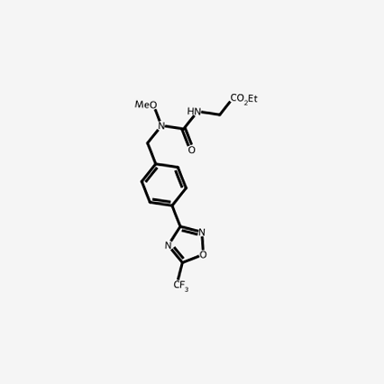 CCOC(=O)CNC(=O)N(Cc1ccc(-c2noc(C(F)(F)F)n2)cc1)OC